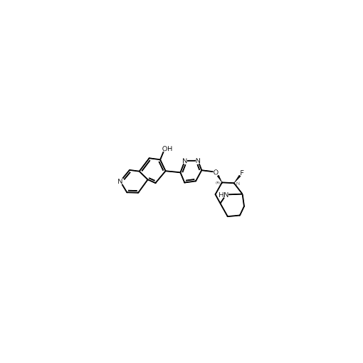 Oc1cc2cnccc2cc1-c1ccc(O[C@@H]2CC3CCCC(N3)[C@@H]2F)nn1